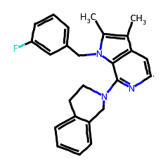 Cc1c(C)n(Cc2cccc(F)c2)c2c(N3CCc4ccccc4C3)n[c]cc12